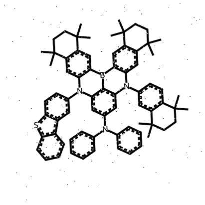 CC1(C)CCC(C)(C)c2cc(N3c4cc5c(cc4B4c6cc7c(cc6N(c6ccc8sc9ccccc9c8c6)c6cc(N(c8ccccc8)c8ccccc8)cc3c64)C(C)(C)CCC7(C)C)C(C)(C)CCC5(C)C)ccc21